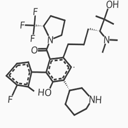 Cc1c(F)cccc1-c1c(O)c([C@H]2CCCNC2)[c]c(CCC[C@@H](N(C)C)C(C)(C)O)c1C(=O)N1CCC[C@H]1C(F)(F)F